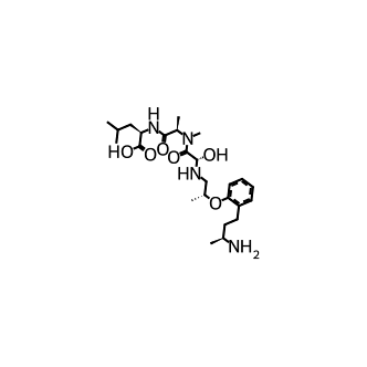 CC(C)C[C@@H](NC(=O)[C@@H](C)N(C)C(=O)[C@H](O)NC[C@@H](C)Oc1ccccc1CC[C@H](C)N)C(=O)O